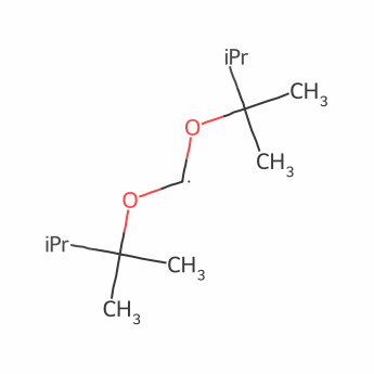 CC(C)C(C)(C)O[CH]OC(C)(C)C(C)C